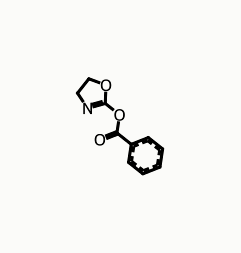 O=C(OC1=NCCO1)c1ccccc1